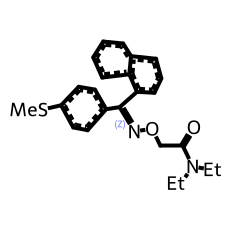 CCN(CC)C(=O)CO/N=C(/c1ccc(SC)cc1)c1cccc2ccccc12